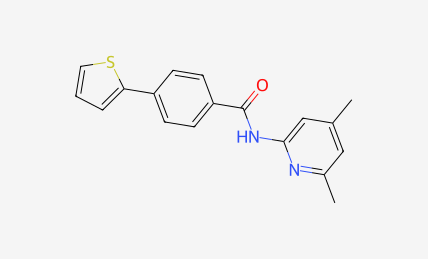 Cc1cc(C)nc(NC(=O)c2ccc(-c3cccs3)cc2)c1